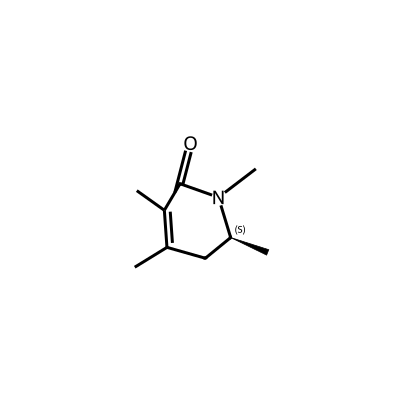 CC1=C(C)C(=O)N(C)[C@@H](C)C1